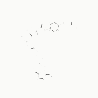 CC(=O)OCc1ccc(NC(=O)[C@@H](C)NC(=O)[C@H](NC(=O)CCCCCN2C(=O)C=CC2=O)C(C)C)cc1